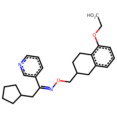 O=C(O)COc1cccc2c1CCC(CON=C(CC1CCCC1)c1cccnc1)C2